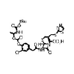 CC(NC(=O)OC(C)(C)C)OC(=O)Oc1ccc(CC(=O)NC2C(=O)N3C(C(=O)O)=C(CSc4nncs4)CS[C@@H]23)cc1Cl